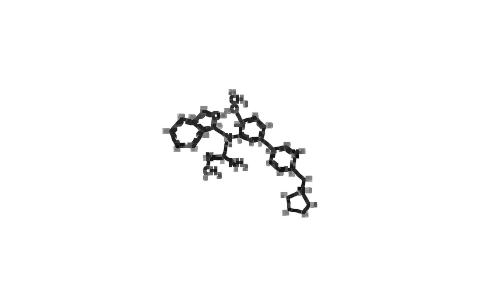 CN=C(N)N(c1cc(-c2ccc(CN3CCCC3)nc2)ccc1OC)c1occ2ccccc12